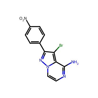 Nc1nccn2nc(-c3ccc([N+](=O)[O-])cc3)c(Br)c12